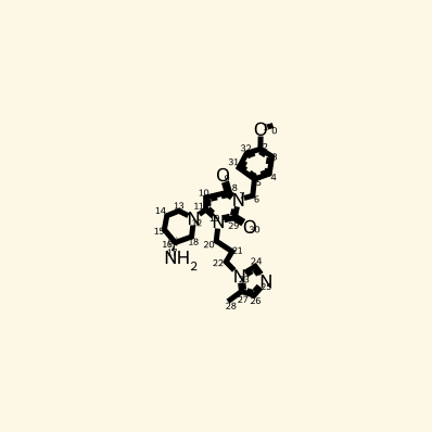 COc1ccc(Cn2c(=O)cc(N3CCC[C@@H](N)C3)n(CCCn3cncc3C)c2=O)cc1